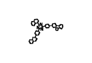 c1ccc2cc(-c3ccc(-c4nc(-c5ccc(-c6ccc7c(c6)oc6ccccc67)cc5)nc(-c5cccc6ccccc56)n4)cc3)ccc2c1